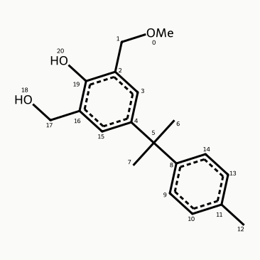 COCc1cc(C(C)(C)c2ccc(C)cc2)cc(CO)c1O